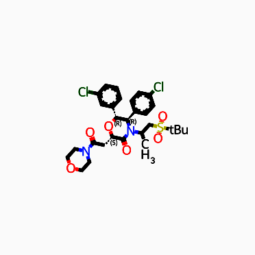 CC(CS(=O)(=O)C(C)(C)C)N1C(=O)[C@H](CC(=O)N2CCOCC2)O[C@H](c2cccc(Cl)c2)[C@H]1c1ccc(Cl)cc1